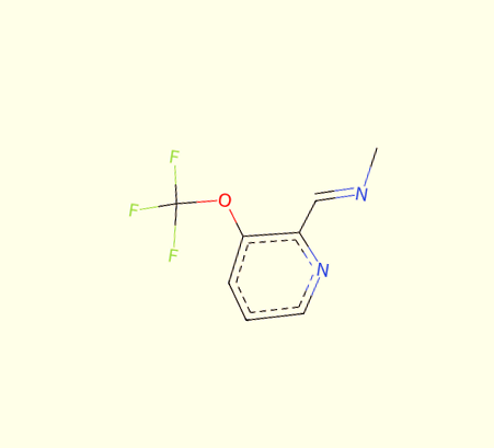 C/N=C/c1ncccc1OC(F)(F)F